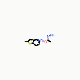 C=C(N=N)ONc1ccc2sc(C)cc2c1